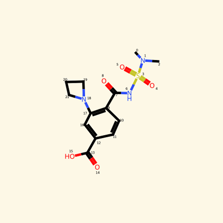 CN(C)S(=O)(=O)NC(=O)c1ccc(C(=O)O)cc1N1CCC1